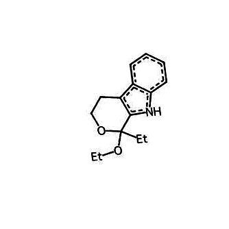 CCOC1(CC)OCCc2c1[nH]c1ccccc21